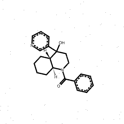 O=C(c1ccccc1)N1CCC(O)(c2cccnc2)[C@H]2CCCC[C@@H]21